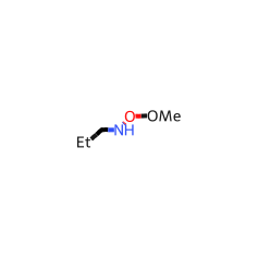 CCCNOOC